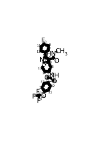 CNC(=O)c1c(-c2ccc(F)cc2)nn2ccc(NS(=O)(=O)c3ccc(OC(F)(F)F)cc3)cc12